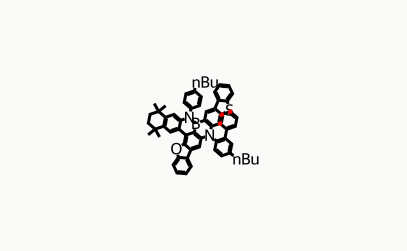 CCCCc1ccc(N2B3c4cc5c(cc4N(c4ccc(CCCC)cc4-c4ccccc4)c4cc6c(oc7ccccc76)c(c43)-c3cc4c(cc32)C(C)(C)CCC4(C)C)sc2ccccc25)cc1